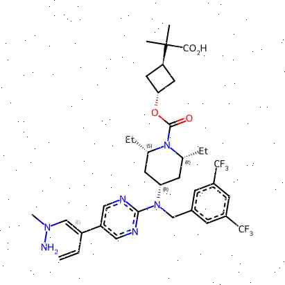 C=C/C(=C\N(C)N)c1cnc(N(Cc2cc(C(F)(F)F)cc(C(F)(F)F)c2)[C@H]2C[C@@H](CC)N(C(=O)O[C@H]3C[C@H](C(C)(C)C(=O)O)C3)[C@@H](CC)C2)nc1